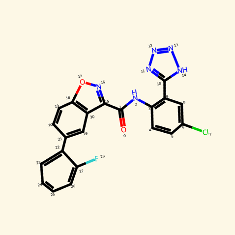 O=C(Nc1ccc(Cl)cc1-c1nnn[nH]1)c1noc2ccc(-c3ccccc3F)cc12